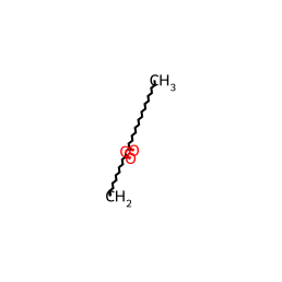 C=CCCCCCCCCC(=O)OC(=O)CCCCCCCCCCCCCCCCC